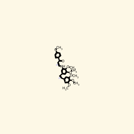 COc1ccc(C(=O)/C=C\Nc2cc(/C=C\c3cc(OC)c(OC)c(OC)c3)cc(OC)c2OC)cc1